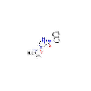 CC(C)NC(=O)N1CCNC(C(=O)NC2CCCc3ccccc32)C1